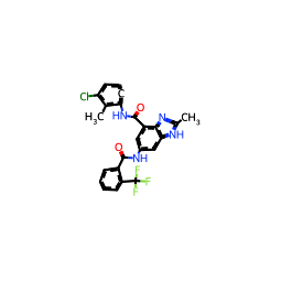 Cc1nc2c(C(=O)Nc3cccc(Cl)c3C)cc(NC(=O)c3ccccc3C(F)(F)F)cc2[nH]1